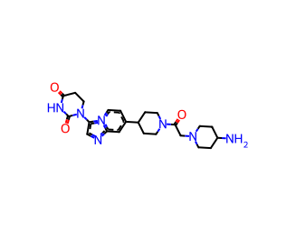 NC1CCN(CC(=O)N2CCC(c3ccn4c(N5CCC(=O)NC5=O)cnc4c3)CC2)CC1